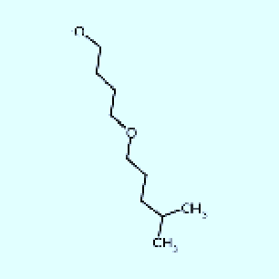 CC(C)CCCOCCCC[O]